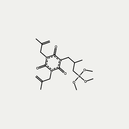 C=C(C)Cn1c(=O)n(CC(=C)C)c(=O)n(CC(C)C[Si](OC)(OC)OC)c1=O